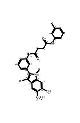 Cc1cccc(NC(=O)CCC(=O)Nc2cccc(-c3c(I)c4cc(C(=O)O)c(O)cc4n3C)c2)c1